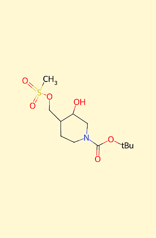 CC(C)(C)OC(=O)N1CCC(COS(C)(=O)=O)C(O)C1